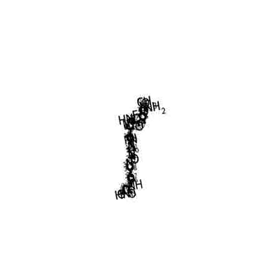 CC(Cc1ccc(F)c(C(=O)c2c[nH]c3ncc(-c4cnc(N5CCN(C(=O)CN6CCC(c7ccc(NC8CCC(=O)NC8=O)cc7)CC6)CC5)nc4)cc23)c1F)S(N)(=O)=O